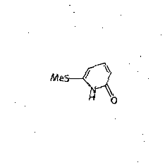 CSc1cccc(=O)[nH]1